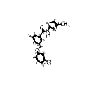 Cc1csc(NC(=O)c2cccc(COc3cccc(Cl)c3)c2)n1